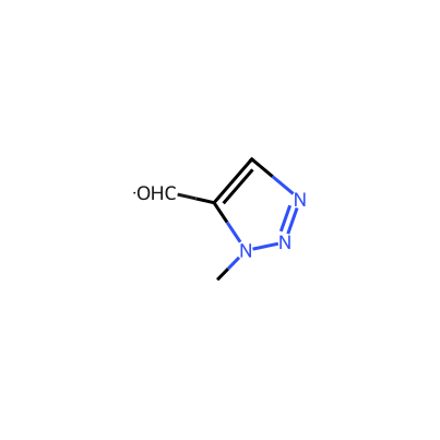 Cn1nncc1[C]=O